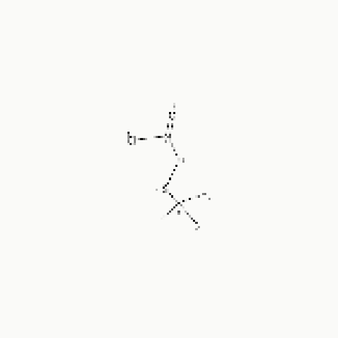 CC(C)(C)SCC(=O)Cl